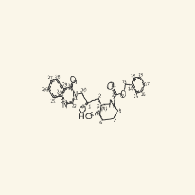 O=C(C[C@@H]1[C@@H](O)CCCN1C(=O)OCc1ccccc1)Cn1cnc2ccccc2c1=O